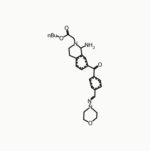 CCCCOC(=O)CN1CCc2ccc(C(=O)c3ccc(C=NN4CCOCC4)cc3)cc2C1N